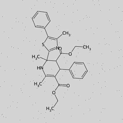 CCOC(=O)C1=C(C)NC(C)(c2nc(C)c(-c3ccccc3)s2)C(C(=O)OCC)C1c1ccccc1